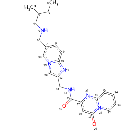 CCC(C)CNCc1ccc2nc(CNC(=O)c3cc(=O)n4ccccc4n3)cn2c1